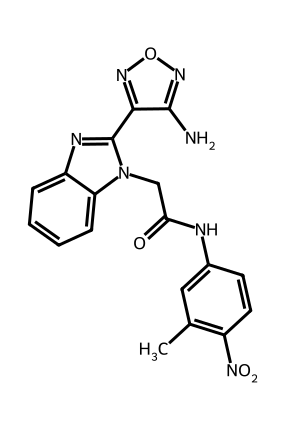 Cc1cc(NC(=O)Cn2c(-c3nonc3N)nc3ccccc32)ccc1[N+](=O)[O-]